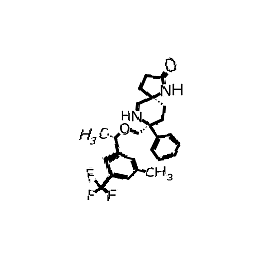 Cc1cc([C@H](C)OC[C@@]2(c3ccccc3)CC[C@@]3(CCC(=O)N3)CN2)cc(C(F)(F)F)c1